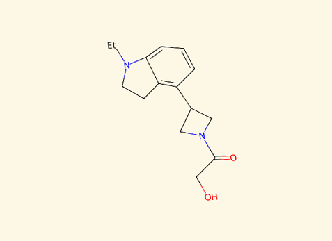 CCN1CCc2c(C3CN(C(=O)CO)C3)cccc21